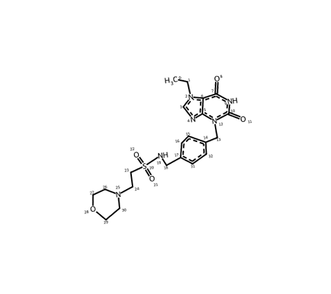 CCn1cnc2c1c(=O)[nH]c(=O)n2Cc1ccc(CNS(=O)(=O)CCN2CCOCC2)cc1